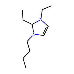 CCCCN1C=CN(CC)C1CC